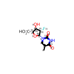 Cc1cn([C@@H]2O[C@H](C(=O)O)[C@@H](O)[C@@H]2F)c(=O)[nH]c1=O